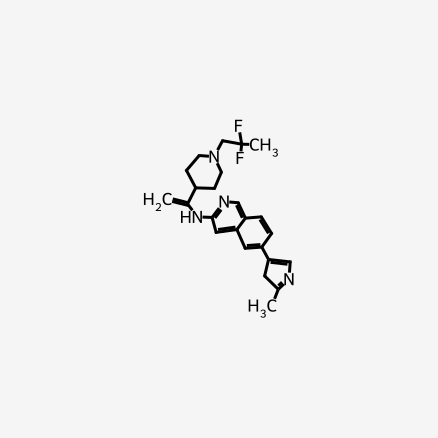 C=C(Nc1cc2cc(C3=CN=C(C)C3)ccc2cn1)C1CCN(CC(C)(F)F)CC1